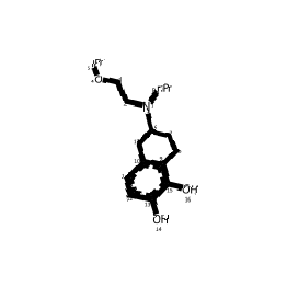 CCCN(CCOC(C)C)C1CCc2c(ccc(O)c2O)C1